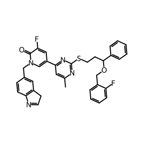 Cc1cc(-c2cc(F)c(=O)n(Cc3ccc4c(c3)CC=N4)c2)nc(SCCC(OCc2ccccc2F)c2ccccc2)n1